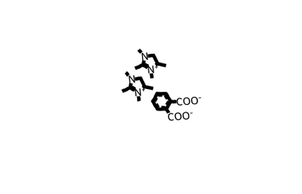 CC1=[N+](C)C(C)CN1C.CC1=[N+](C)C(C)CN1C.O=C([O-])c1ccccc1C(=O)[O-]